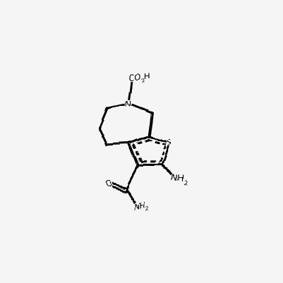 NC(=O)c1c(N)sc2c1CCCN(C(=O)O)C2